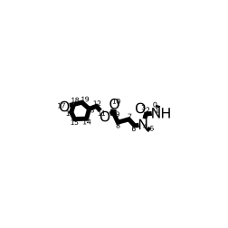 CNC(=O)N(C)CCCC(=O)OCC1CCC2OC2C1